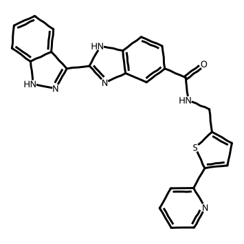 O=C(NCc1ccc(-c2ccccn2)s1)c1ccc2[nH]c(-c3n[nH]c4ccccc34)nc2c1